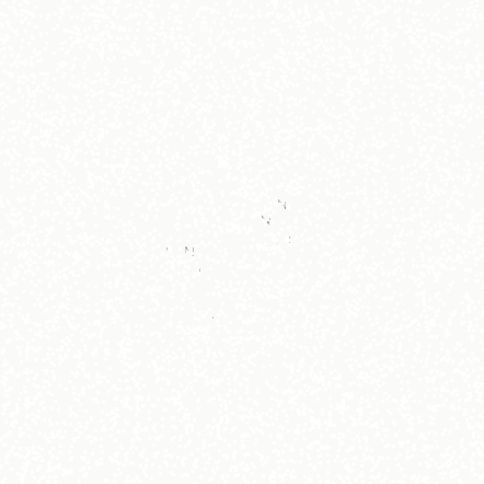 CCCCc1ccc(N=Nc2ccccc2)c(-c2cc(C(C)(C)C)cc(C(C)(C)C)c2O)c1[N+](=O)[O-]